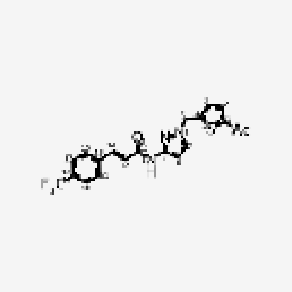 CC(=O)c1ccc(Cn2ccc(NC(=O)/C=C/c3ccc(C(F)(F)F)cc3)n2)s1